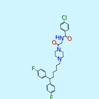 O=C(NCC(=O)N1CCN(CCCCCC(c2ccc(F)cc2)c2ccc(F)cc2)CC1)c1ccc(Cl)cc1